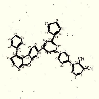 N#Cc1cccc(-c2ccc(-c3nc(-c4ccccc4)nc(-c4ccc5c(c4)oc4cccc(-c6ccccc6)c45)n3)cc2)c1C#N